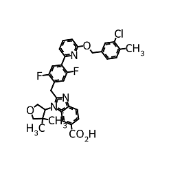 Cc1ccc(COc2cccc(-c3cc(F)c(Cc4nc5ccc(C(=O)O)cc5n4C4COCC4(C)C)cc3F)n2)cc1Cl